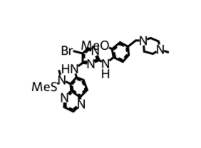 COc1cc(CN2CCN(C)CC2)ccc1Nc1ncc(Br)c(Nc2ccc3nccnc3c2N(C)SC)n1